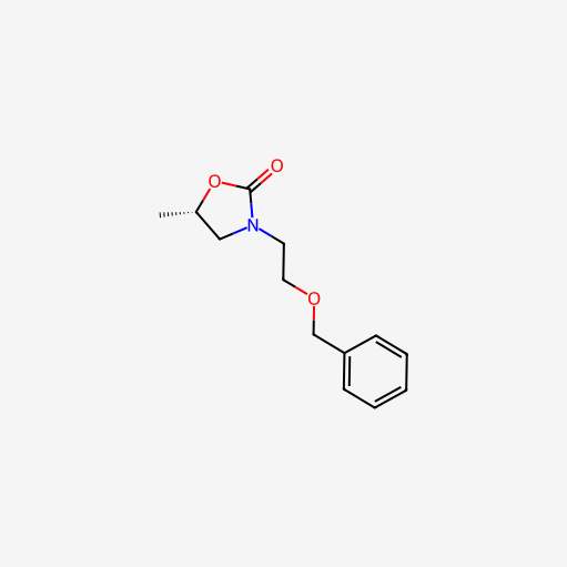 C[C@H]1CN(CCOCc2ccccc2)C(=O)O1